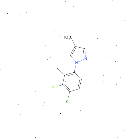 Cc1c(-n2cc(C(=O)O)cn2)ccc(Cl)c1F